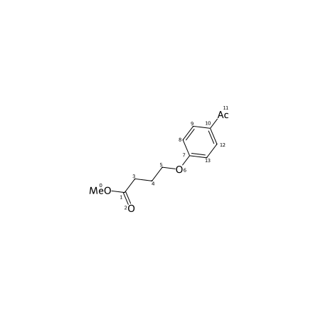 COC(=O)CCCOc1ccc(C(C)=O)cc1